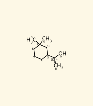 C[C@H](O)C1CCCC(C)(C)C1